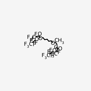 CC(COC(=O)C(F)(OC(F)(F)C(F)(F)C(F)(F)F)C(F)(F)F)OCCCCCOC(=O)C(F)(OC(F)(F)C(F)(F)C(F)(F)F)C(F)(F)F